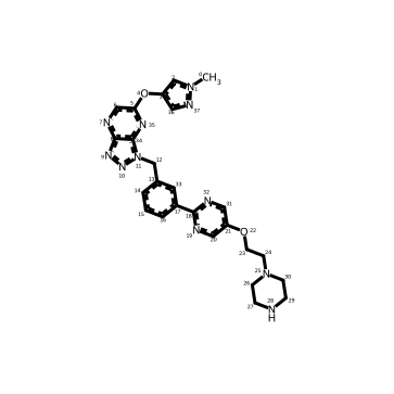 Cn1cc(Oc2cnc3nnn(Cc4cccc(-c5ncc(OCCN6CCNCC6)cn5)c4)c3n2)cn1